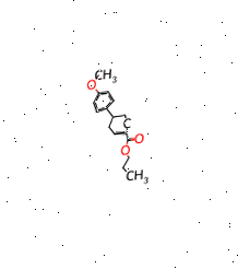 CCCOC(=O)C1=CCC(c2ccc(OC)cc2)CC1